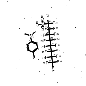 Cc1ccc([S+](C)C)cc1.O=S(=O)([O-])C(F)(F)C(F)(F)C(F)(F)C(F)(F)C(F)(F)C(F)(F)C(F)(F)C(F)(F)F